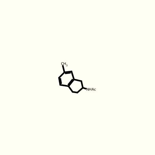 CC(=O)NC1CCc2ccc(C)cc2C1